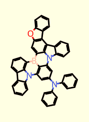 c1ccc(N(c2ccccc2)c2cc3c4c(c2)-n2c5ccccc5c5c6c(cc(c52)B4c2cccc4c5ccccc5n-3c24)oc2ccccc26)cc1